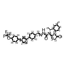 CCc1cc(C)ccc1N1C(=O)CS/C1=N\C(=O)N/N=C/c1ccc(-c2ncn(-c3ccc(OC(F)(F)F)cc3)n2)cc1